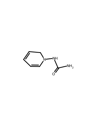 NC(=O)NN1C=CC=CC1